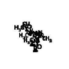 CCn1c(C(=O)N(C2CC2)C2CC2)cc2c3c(ncn3C)c(Nc3cc(C)n(CC(=O)N(C)C)n3)nc21